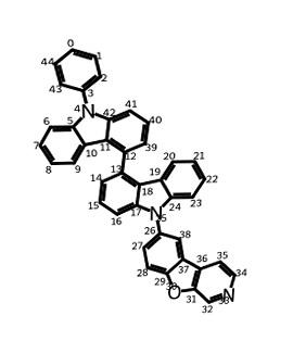 c1ccc(-n2c3ccccc3c3c(-c4cccc5c4c4ccccc4n5-c4ccc5oc6cnccc6c5c4)cccc32)cc1